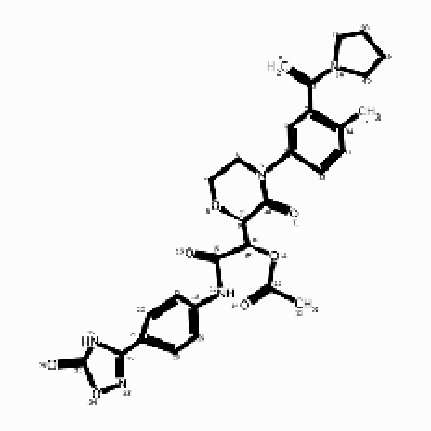 C=C(c1cc(N2CCO[C@H]([C@@H](OC(C)=O)C(=O)Nc3ccc(-c4noc(=O)[nH]4)cc3)C2=O)ccc1C)N1CCCC1